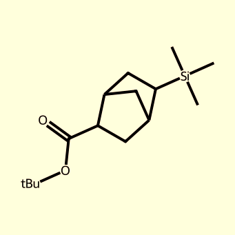 CC(C)(C)OC(=O)C1CC2CC1CC2[Si](C)(C)C